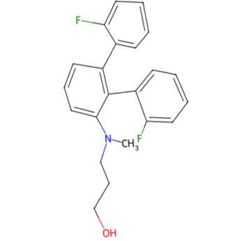 CN(CCCO)c1cccc(-c2ccccc2F)c1-c1ccccc1F